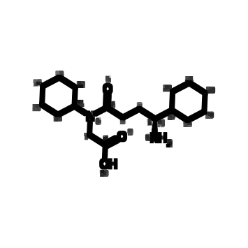 N[C@@H](CCC(=O)N(CC(=O)O)C1CCCCC1)C1CCCCC1